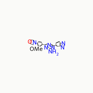 COc1cc(N2CCOCC2)ccc1-c1cn2cc(-c3ccc4c(c3)ncn4C)nc(N)c2n1